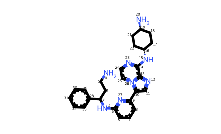 NCCC(Nc1cccc(-c2cnc3c(N[C@H]4CC[C@H](N)CC4)nccn23)n1)c1ccccc1